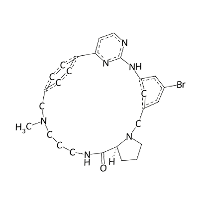 CN1CCCNC(=O)[C@@H]2CCCN2Cc2cc(Br)cc(c2)Nc2nccc(n2)-c2ccc(cc2)C1